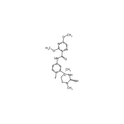 COc1cnc(C(=O)Nc2ccc(F)c([C@]3(C)CSN(C)C(=N)N3)c2)c(OC)n1